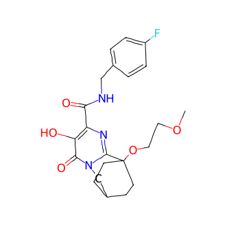 COCCOC12CCC(CC1)Cn1c2nc(C(=O)NCc2ccc(F)cc2)c(O)c1=O